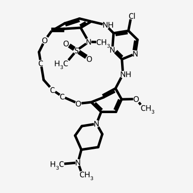 COc1cc(N2CCC(N(C)C)CC2)c2cc1Nc1ncc(Cl)c(n1)Nc1ccc(cc1N(C)S(C)(=O)=O)OCCCCCO2